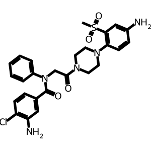 CS(=O)(=O)c1cc(N)ccc1N1CCN(C(=O)CN(C(=O)c2ccc(Cl)c(N)c2)c2ccccc2)CC1